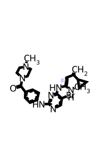 C=C(/C=C(\NC)Nc1nc(Nc2ccc(C(=O)N3CCN(C)CC3)cc2)ncc1Br)C1CC1